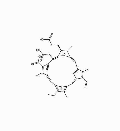 C=CC1=C(C)c2cc3[nH]c(c(CC(=O)O)c4nc(cc5[nH]c(cc1n2)c(C)c5CC)C(C)=C4C(=O)O)[C@@H](CCC(=O)O)[C@@H]3C